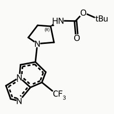 CC(C)(C)OC(=O)N[C@@H]1CCN(c2cc(C(F)(F)F)c3nccn3c2)C1